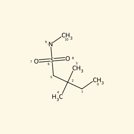 CCC(C)(C)CS(=O)(=O)[N]C